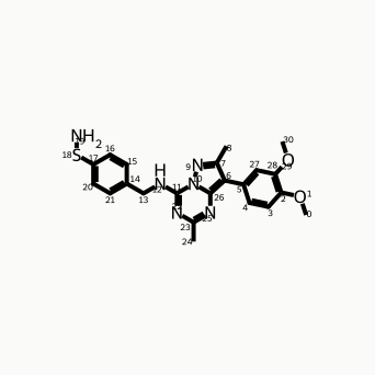 COc1ccc(-c2c(C)nn3c(NCc4ccc(SN)cc4)nc(C)nc23)cc1OC